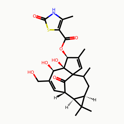 CC1=CC23C(=O)[C@@H](C=C(CO)[C@@H](O)[C@]2(O)[C@H]1OC(=O)c1sc(=O)[nH]c1C)[C@H]1[C@@H](CC3C)C1(C)C